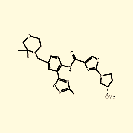 CO[C@H]1CCN(c2nc(C(=O)Nc3ccc(CN4CCOCC4(C)C)cc3-c3nc(C)no3)cs2)C1